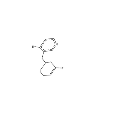 FC1=CCCC(Cc2cnccc2Br)C1